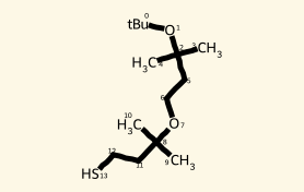 CC(C)(C)OC(C)(C)CCOC(C)(C)CCS